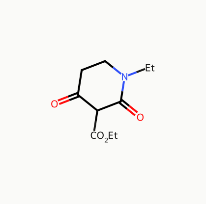 CCOC(=O)C1C(=O)CCN(CC)C1=O